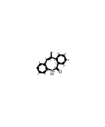 C/C1=C/c2ccccc2NC(=O)c2ccccc21